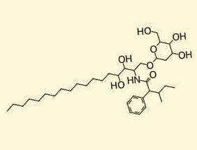 CCCCCCCCCCCCCCC(O)C(O)C(COC1CC(O)C(O)C(CO)O1)NC(=O)C(c1ccccc1)C(C)CC